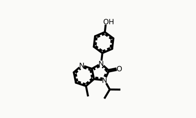 Cc1ccnc2c1n(C(C)C)c(=O)n2-c1ccc(O)cc1